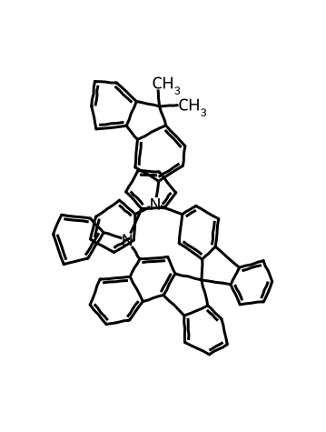 CC1(C)c2ccccc2-c2cc(N(c3ccccc3)c3ccc4c(c3)C3(c5ccccc5-4)c4ccccc4-c4c3cc(N(c3ccccc3)c3ccccc3)c3ccccc43)ccc21